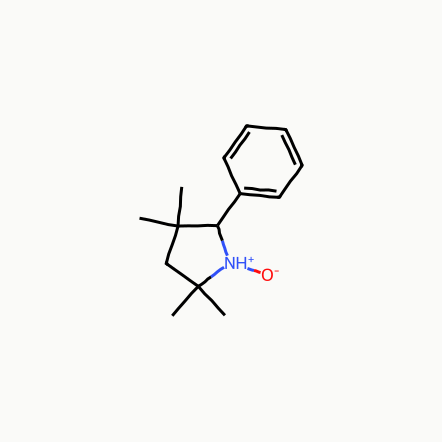 CC1(C)CC(C)(C)[NH+]([O-])C1c1ccccc1